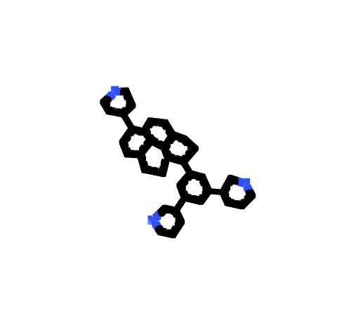 c1cncc(-c2cc(-c3cccnc3)cc(-c3ccc4ccc5c(-c6ccncc6)ccc6ccc3c4c65)c2)c1